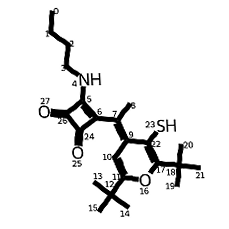 CCCCNc1c(C(C)=C2C=C(C(C)(C)C)OC(C(C)(C)C)=C2S)c(=O)c1=O